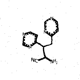 N#CC(N)C(Cc1ccncn1)c1ccncn1